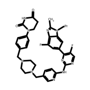 Cc1nc2c(F)cc(-c3nc(Nc4ccc(CN5CCN(Cc6ccc(N7CCC(=O)NC7=O)cc6)CC5)cn4)ncc3F)cc2n1C(C)C